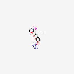 Cc1c(Cc2ccccc2[N+](=O)[O-])c(=O)oc2cc(Oc3ncccn3)ccc12